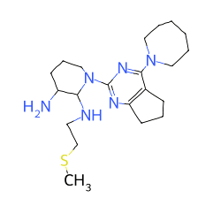 CSCCNC1C(N)CCCN1c1nc2c(c(N3CCCCCC3)n1)CCC2